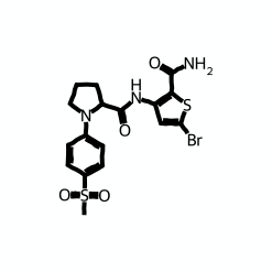 CS(=O)(=O)c1ccc(N2CCCC2C(=O)Nc2cc(Br)sc2C(N)=O)cc1